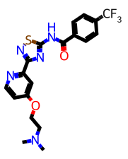 CN(C)CCOc1ccnc(-c2nsc(NC(=O)c3ccc(C(F)(F)F)cc3)n2)c1